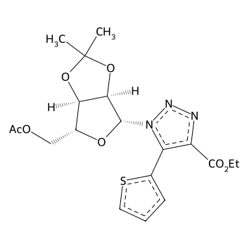 CCOC(=O)c1nnn([C@@H]2O[C@H](COC(C)=O)[C@H]3OC(C)(C)O[C@H]32)c1-c1cccs1